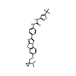 CN(C)C1(COc2ccc3c(n2)sc2nc(-c4ccc(NC(=O)Nc5cc(C(C)(C)C)on5)cc4)cn23)CC1